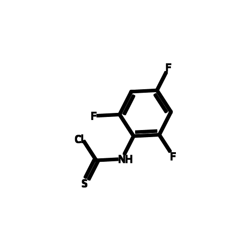 Fc1cc(F)c(NC(=S)Cl)c(F)c1